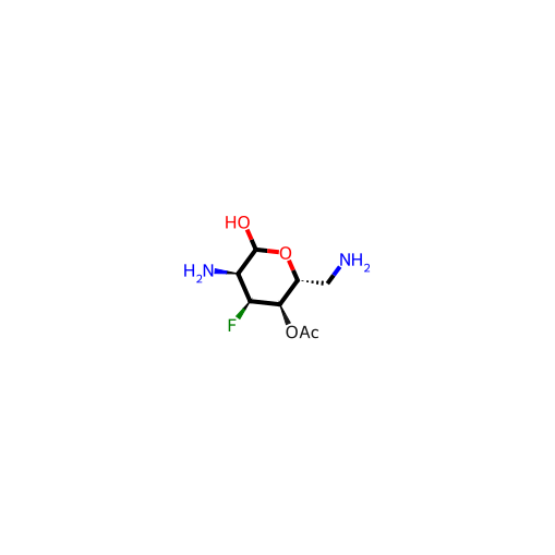 CC(=O)O[C@H]1[C@@H](F)[C@@H](N)C(O)O[C@@H]1CN